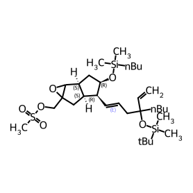 C=CC(C/C=C/[C@H]1[C@H]2CC3(COS(C)(=O)=O)OC3[C@H]2C[C@H]1O[Si](C)(C)CCCC)(CCCC)O[Si](C)(C)C(C)(C)C